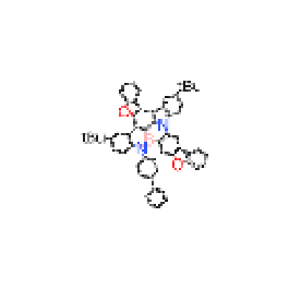 CC(C)(C)c1ccc2c(c1)-c1c3c4c(c5cc(C(C)(C)C)ccc5n4-c4cc5c(cc4B3N2c2ccc(-c3ccccc3)cc2)oc2ccccc25)c2c1oc1ccccc12